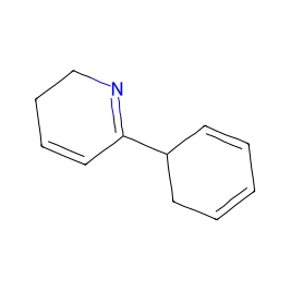 C1=CCC(C2=NCCC=C2)C=C1